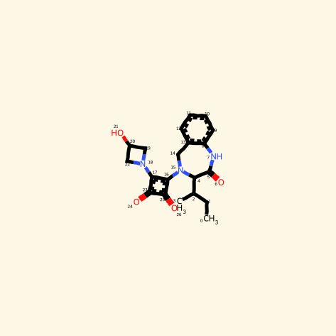 CCC(C)C1C(=O)Nc2ccccc2CN1c1c(N2CC(O)C2)c(=O)c1=O